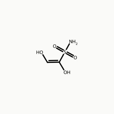 NS(=O)(=O)C(O)=CO